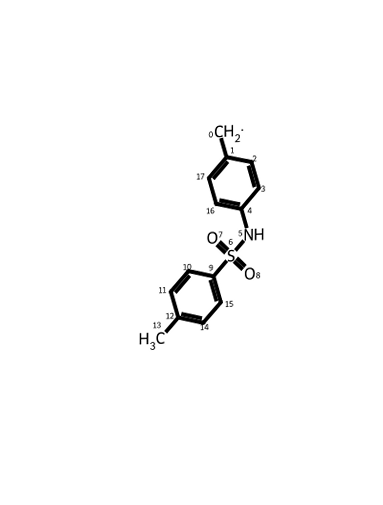 [CH2]c1ccc(NS(=O)(=O)c2ccc(C)cc2)cc1